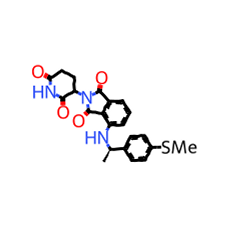 CSc1ccc([C@@H](C)Nc2cccc3c2C(=O)N(C2CCC(=O)NC2=O)C3=O)cc1